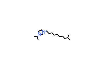 CC(C)CCCCCCCC[n+]1ccn(C(C)C)c1